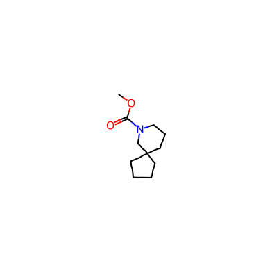 COC(=O)N1CCCC2(CCCC2)C1